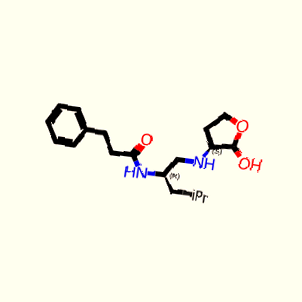 CC(C)C[C@H](CN[C@H]1CCOC1O)NC(=O)CCc1ccccc1